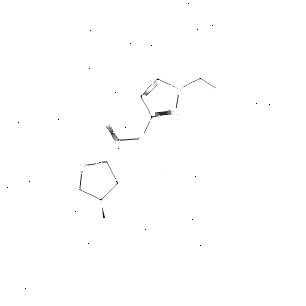 Cl.O=C(Nc1ccn(CC(F)(F)F)n1)[C@@H]1C[C@@H](F)CN1